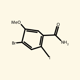 COc1cc(C(N)=O)c(I)cc1Br